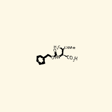 CO[C@H](C)[C@H](NC(=O)OCc1ccccc1)C(=O)O